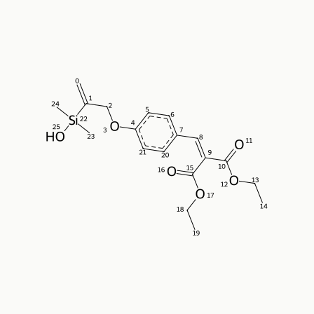 C=C(COc1ccc(C=C(C(=O)OCC)C(=O)OCC)cc1)[Si](C)(C)O